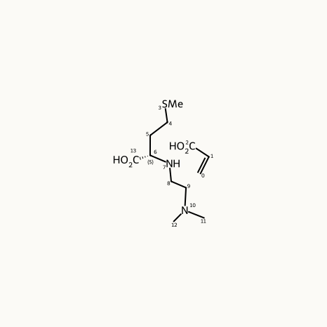 C=CC(=O)O.CSCC[C@H](NCCN(C)C)C(=O)O